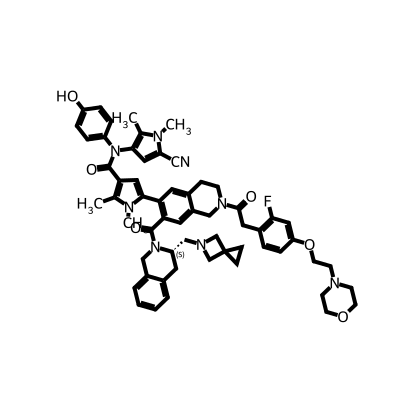 Cc1c(N(C(=O)c2cc(-c3cc4c(cc3C(=O)N3Cc5ccccc5C[C@H]3CN3CC5(CC5)C3)CN(C(=O)Cc3ccc(OCCN5CCOCC5)cc3F)CC4)n(C)c2C)c2ccc(O)cc2)cc(C#N)n1C